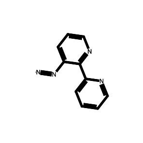 [N]=Nc1cccnc1-c1ccccn1